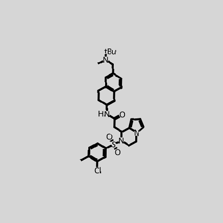 Cc1ccc(S(=O)(=O)N2CCn3cccc3C2CC(=O)NC2CCc3cc(CN(C)C(C)(C)C)ccc3C2)cc1Cl